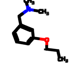 CC[CH]Oc1cccc(CN(C)C)c1